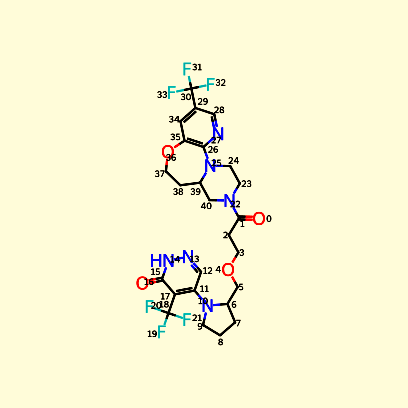 O=C(CCOCC1CCCN1c1cn[nH]c(=O)c1C(F)(F)F)N1CCN2c3ncc(C(F)(F)F)cc3OCCC2C1